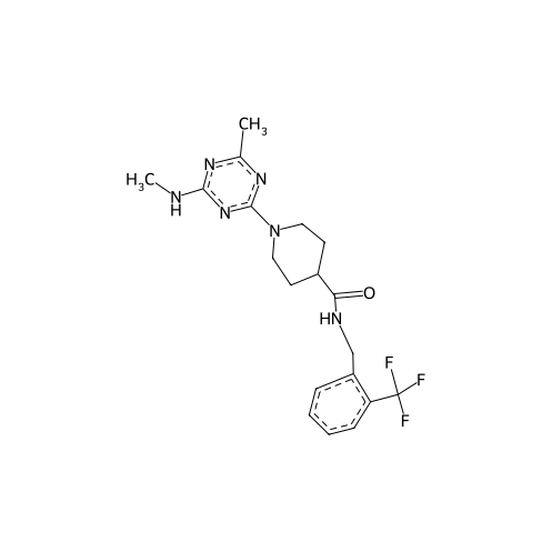 CNc1nc(C)nc(N2CCC(C(=O)NCc3ccccc3C(F)(F)F)CC2)n1